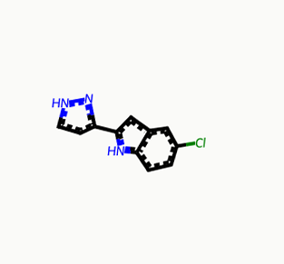 Clc1ccc2[nH]c(-c3cc[nH]n3)cc2c1